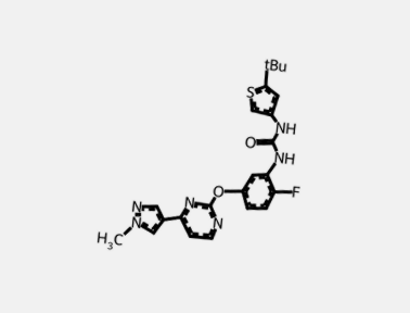 Cn1cc(-c2ccnc(Oc3ccc(F)c(NC(=O)Nc4csc(C(C)(C)C)c4)c3)n2)cn1